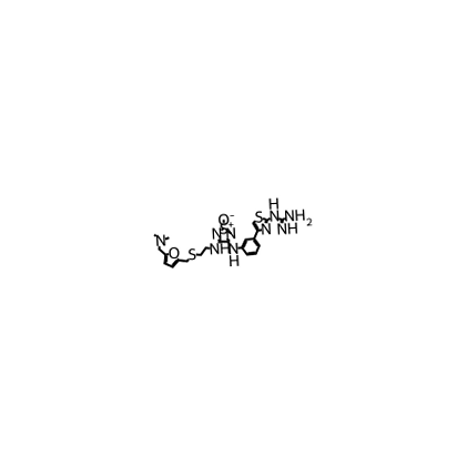 CN(C)Cc1ccc(CSCCNc2n[s+]([O-])nc2Nc2cccc(-c3csc(NC(=N)N)n3)c2)o1